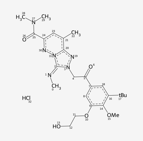 C/N=c1\n(CC(=O)c2cc(OCCO)c(OC)c(C(C)(C)C)c2)nc2c(C)cc(C(=O)N(C)C)nn12.Cl